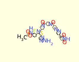 CCCS(=O)(=O)Nc1cccc(-c2nc(C3CCN(C(=O)C4CCN(C(=O)C5CCN(c6ccc([C@@H]7CCC(=O)NC7=O)cn6)CC5)CC4)CC3)sc2-c2ccnc(N)n2)c1F